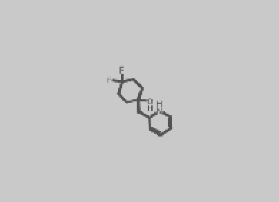 OC1(CC2C=CC=CN2)CCC(F)(F)CC1